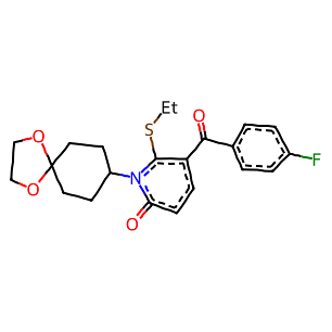 CCSc1c(C(=O)c2ccc(F)cc2)ccc(=O)n1C1CCC2(CC1)OCCO2